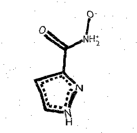 O=C([NH2+][O-])c1cc[nH]n1